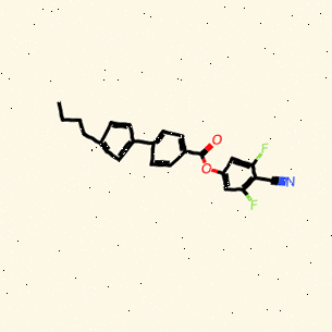 CCCCc1ccc(-c2ccc(C(=O)Oc3cc(F)c(C#N)c(F)c3)cc2)cc1